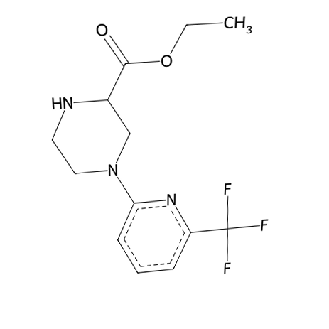 CCOC(=O)C1CN(c2cccc(C(F)(F)F)n2)CCN1